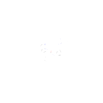 [2H]C([2H])([2H])OC([2H])([2H])c1cc2c(Cl)c[nH]c2nc1OC(=O)Nc1ccc(F)c(C2(C)COC(C)(C(F)(F)F)C(N)=N2)c1